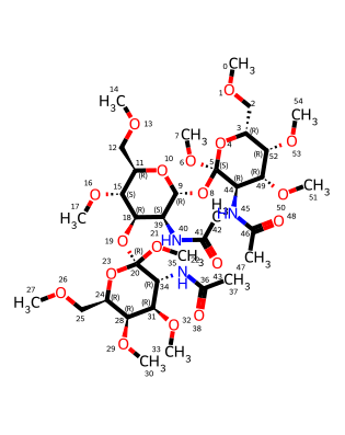 COC[C@H]1O[C@](OC)(O[C@H]2O[C@H](COC)[C@@H](OC)[C@H](O[C@@]3(OC)O[C@H](COC)[C@H](OC)[C@H](OC)[C@H]3NC(C)=O)[C@@H]2NC(C)=O)[C@H](NC(C)=O)[C@@H](OC)[C@H]1OC